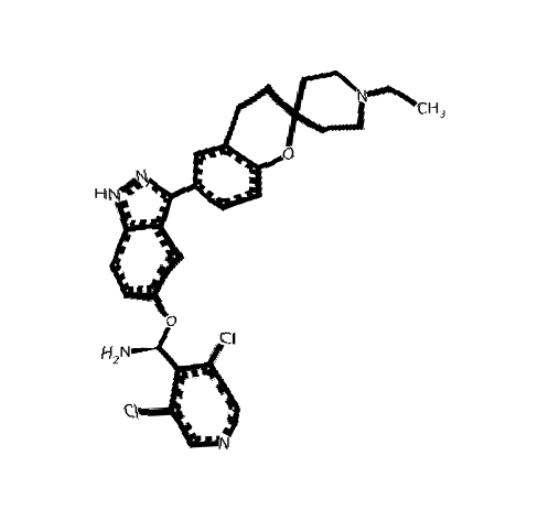 CCN1CCC2(CCc3cc(-c4n[nH]c5ccc(O[C@H](N)c6c(Cl)cncc6Cl)cc45)ccc3O2)CC1